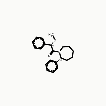 CO[C@H](C(=O)N1CCCCC[C@@H]1c1ccccc1)c1ccccc1